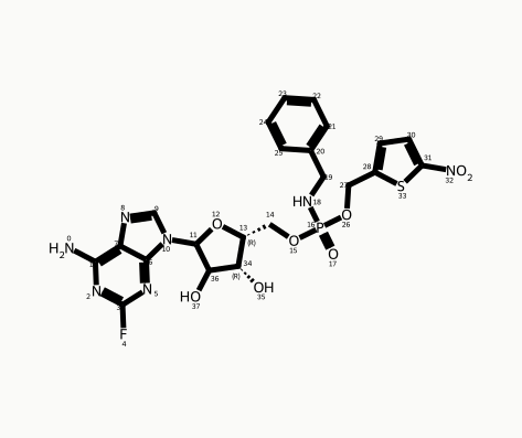 Nc1nc(F)nc2c1ncn2C1O[C@H](COP(=O)(NCc2ccccc2)OCc2ccc([N+](=O)[O-])s2)[C@H](O)C1O